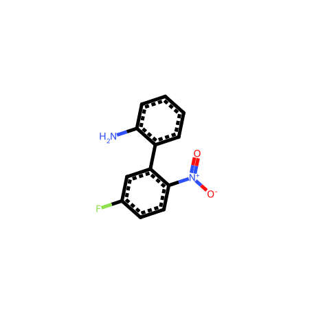 Nc1ccccc1-c1cc(F)ccc1[N+](=O)[O-]